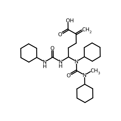 C=C(CCC(NC(=O)NC1CCCCC1)N(C(=O)N(C)C1CCCCC1)C1CCCCC1)C(=O)O